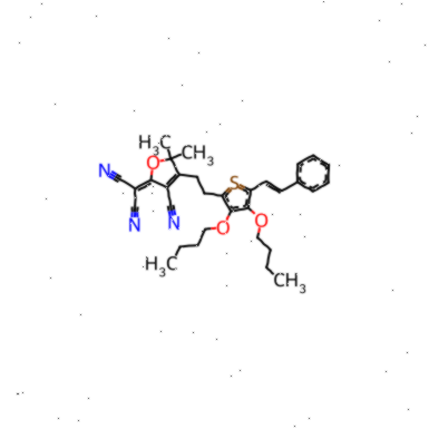 CCCCOc1c(/C=C/c2ccccc2)sc(CCC2=C(C#N)C(=C(C#N)C#N)OC2(C)C)c1OCCCC